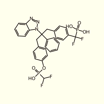 O=P(O)(Oc1ccc(CC(Cc2ccc(C(F)(F)P(=O)(O)O)cc2)(c2ccccc2)n2nnc3ccccc32)cc1)C(F)F